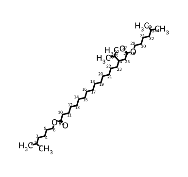 CC(C)CCCCOC(=O)CCCCCCCCCCCCCCC(CC(=O)OCCCCC(C)C)C(C)C